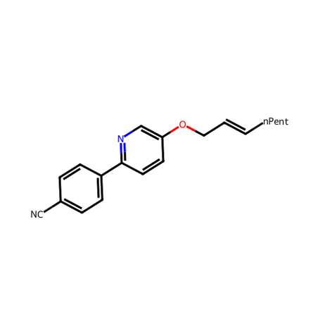 CCCCCC=CCOc1ccc(-c2ccc(C#N)cc2)nc1